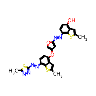 Cc1cc2c(O)ccc(/N=N/c3cc(Oc4ccc(/N=N/c5nnc(C)s5)c5sc(C)cc45)co3)c2s1